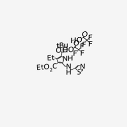 CCOC(=O)c1c(CNCc2cncs2)[nH]c(C(=O)OC(C)(C)C)c1CC.O=C(O)C(F)(F)F.O=C(O)C(F)(F)F